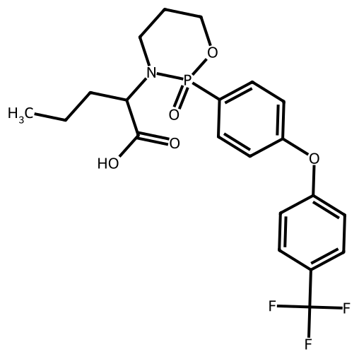 CCCC(C(=O)O)N1CCCOP1(=O)c1ccc(Oc2ccc(C(F)(F)F)cc2)cc1